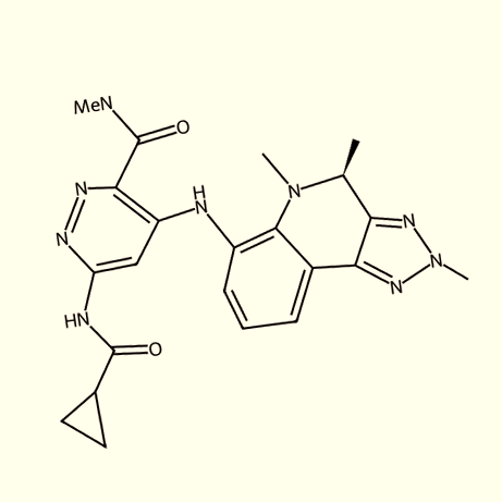 CNC(=O)c1nnc(NC(=O)C2CC2)cc1Nc1cccc2c1N(C)[C@@H](C)c1nn(C)nc1-2